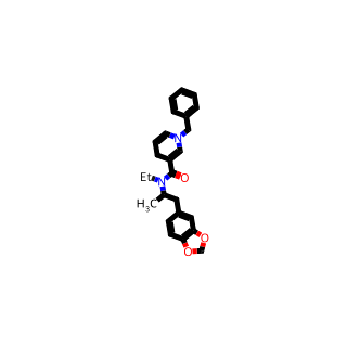 CCN(C(=O)C1=CN(Cc2ccccc2)C=CC1)C(C)Cc1ccc2c(c1)OCO2